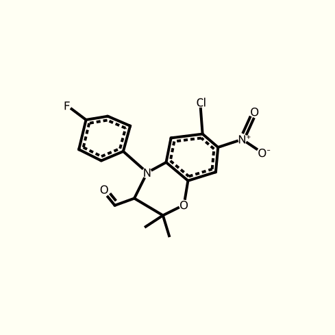 CC1(C)Oc2cc([N+](=O)[O-])c(Cl)cc2N(c2ccc(F)cc2)C1C=O